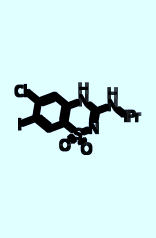 CC(C)NC1=NS(=O)(=O)c2cc(I)c(Cl)cc2N1